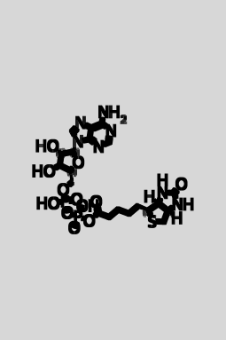 Nc1ncnc2c1ncn2[C@@H]1O[C@H](COP(=O)(O)OP(=O)(O)OC(=O)CCCC[C@@H]2SC[C@@H]3NC(=O)N[C@@H]32)C(O)[C@@H]1O